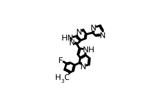 Cc1cc(F)cc(-c2nccc3[nH]c(-c4n[nH]c5ncc(-c6cnccn6)cc45)cc23)c1